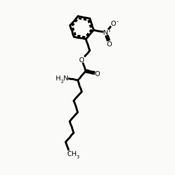 CCCCCCCC(N)C(=O)OCc1ccccc1[N+](=O)[O-]